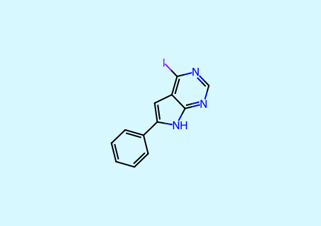 Ic1ncnc2[nH]c(-c3ccccc3)cc12